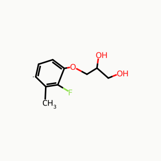 Cc1[c]ccc(OCC(O)CO)c1F